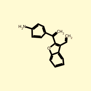 C=Cc1c(C(=C)c2ccc(N)cc2)oc2ccccc12